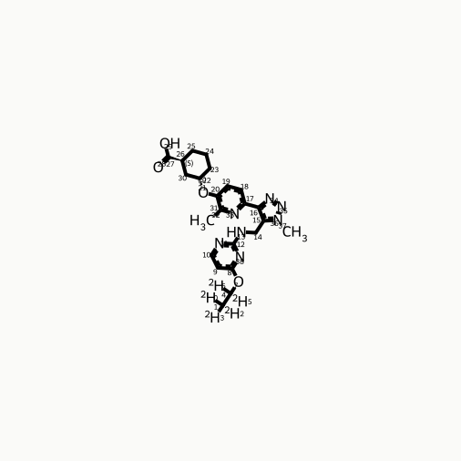 [2H]C([2H])([2H])C([2H])([2H])Oc1ccnc(NCc2c(-c3ccc(O[C@H]4CCC[C@H](C(=O)O)C4)c(C)n3)nnn2C)n1